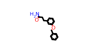 NC(=O)CCc1cccc(OCc2ccccc2)c1